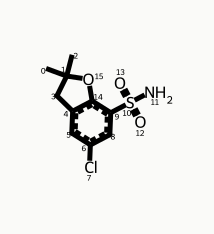 CC1(C)Cc2cc(Cl)cc(S(N)(=O)=O)c2O1